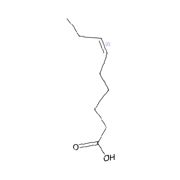 CC/C=C\CCCCC(=O)O